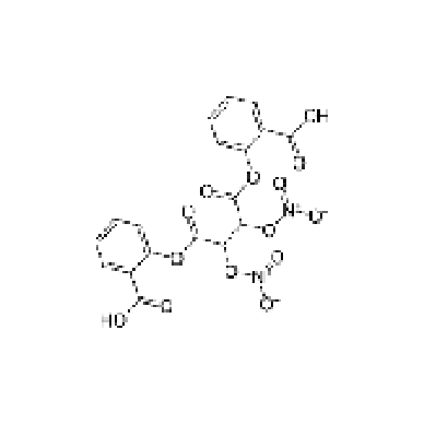 O=C(O)c1ccccc1OC(=O)C(O[N+](=O)[O-])C(O[N+](=O)[O-])C(=O)Oc1ccccc1C(=O)O